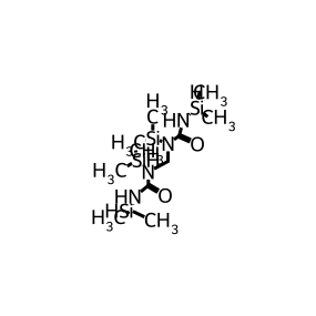 C[SiH](C)NC(=O)N(CN(C(=O)N[SiH](C)C)[SiH](C)C)[SiH](C)C